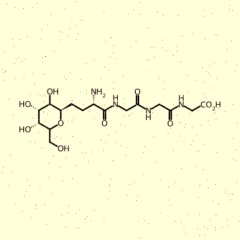 N[C@@H](CC[C@H]1OC(CO)[C@H](O)[C@H](O)C1O)C(=O)NCC(=O)NCC(=O)NCC(=O)O